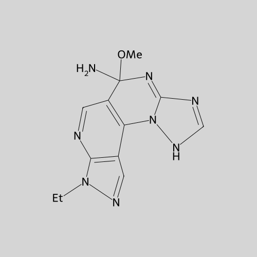 CCn1ncc2c3c(cnc21)C(N)(OC)N=C1N=CNN13